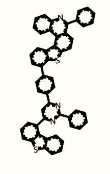 c1ccc(-c2nc(-c3ccc(-c4cccc5c4sc4ccc6c(-c7ccccc7)nc7ccccc7c6c45)cc3)cc(-c3cccc4sc5ccccc5c34)n2)cc1